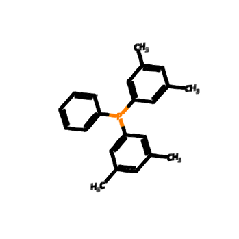 Cc1cc(C)cc(P(c2[c]cccc2)c2cc(C)cc(C)c2)c1